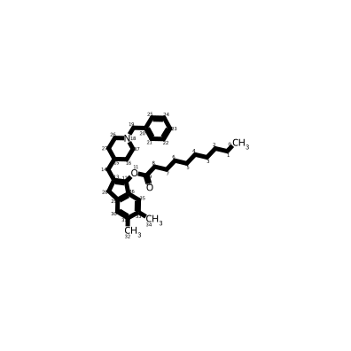 CCCCCCCCCC(=O)OC1=C(CC2CCN(Cc3ccccc3)CC2)Cc2cc(C)c(C)cc21